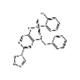 O=S(=O)(Nc1cnc(-n2cnnn2)nc1NCc1ccccc1)c1ccccc1Br